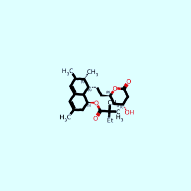 CCC(C)(C)C(=O)O[C@H]1CC(C)=CC2=CC(C)[C@H](C)[C@H](CC[C@@H]3C[C@@H](O)CC(=O)O3)C21